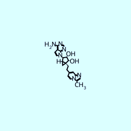 Cc1cnc2cc(CC[C@@]34C[C@@H]3[C@@H](n3ccc5c(N)ncnc53)[C@H](O)[C@@H]4O)ccn12